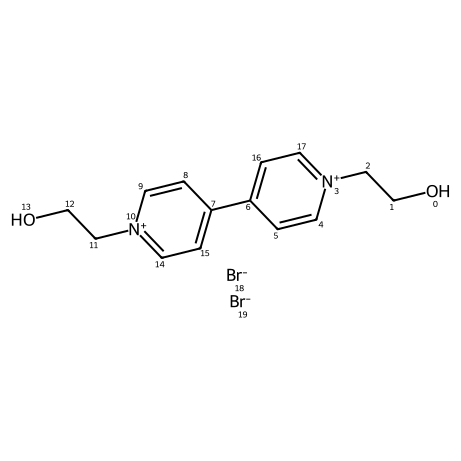 OCC[n+]1ccc(-c2cc[n+](CCO)cc2)cc1.[Br-].[Br-]